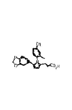 Cc1cc(C#N)ccc1-n1c(CCC(=O)O)ccc1-c1ccc2c(c1)OCO2